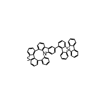 c1ccc2c(c1)-c1ccccc1[Si]21c2ccccc2-c2c(-c3ccc4c(c3)c3cccc5c6cccc7sc8cccc(c9ccccc9n4c53)c8c76)cccc21